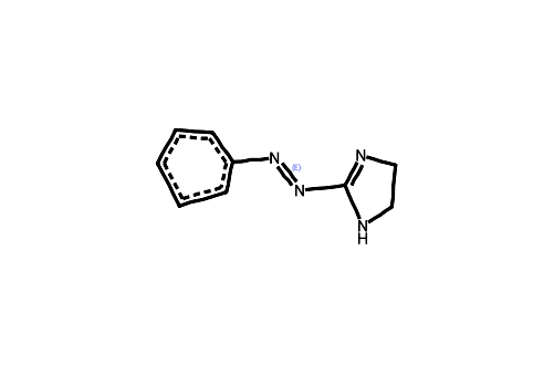 c1ccc(/N=N/C2=NCCN2)cc1